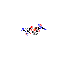 COC[C@H]1O[C@@H](c2cn(CCCN)c(=O)[nH]c2=O)[C@@H](OP(C)(=O)OC[C@H]2O[C@@H](c3cn(CCCN)c(=O)[nH]c3=O)[C@@H](C)C2O)C1C